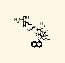 C[C@H](NC(=O)[C@@](CO)(NC=O)Oc1cccc2ccccc12)C(=O)N[C@H]([C]=O)CCCNC(=N)N